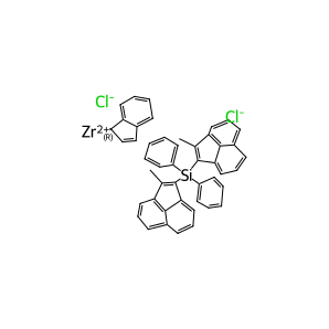 CC1=C([Si](C2=C(C)c3cccc4cccc2c34)(c2ccccc2)c2ccccc2)c2cccc3cccc1c23.[Cl-].[Cl-].[Zr+2][C@@H]1C=Cc2ccccc21